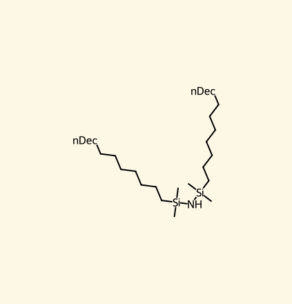 CCCCCCCCCCCCCCCCC[Si](C)(C)N[Si](C)(C)CCCCCCCCCCCCCCCCC